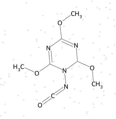 COC1=NC(OC)N(N=C=O)C(OC)=N1